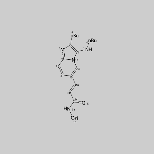 CCCCNc1c(CCCC)nc2ccc(C=CC(=O)NO)cn12